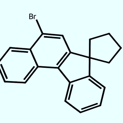 Brc1cc2c(c3ccccc13)-c1ccccc1C21CCCC1